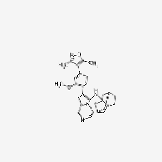 COc1cc(-c2c(C)noc2C)ccc1-c1nc2cnccn2c1NC12CC3CCC1CC(C3)C2